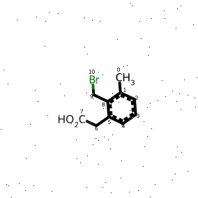 Cc1cccc(CC(=O)O)c1CBr